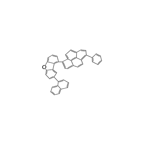 c1ccc(-c2ccc3ccc4c(-c5cccc6oc7ccc(-c8cccc9ccccc89)cc7c56)ccc5ccc2c3c54)cc1